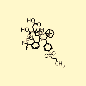 CCCS(=O)(=O)c1ccc(C(N(C(=O)CC(O)(CC(=O)O)C(=O)O)c2cccc(C(F)(F)F)c2Cl)C23CCC(CC2)CN3C)cc1